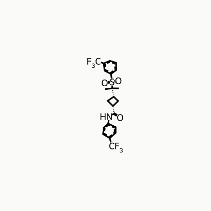 CC(C)([C@H]1C[C@@H](C(=O)Nc2ccc(C(F)(F)F)cc2)C1)S(=O)(=O)c1cccc(C(F)(F)F)c1